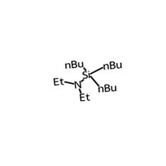 CCCC[Si](CCCC)(CCCC)N(CC)CC